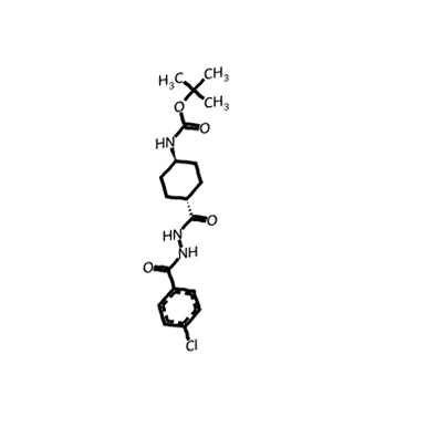 CC(C)(C)OC(=O)N[C@H]1CC[C@H](C(=O)NNC(=O)c2ccc(Cl)cc2)CC1